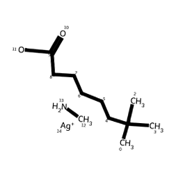 CC(C)(C)CCCCCC(=O)[O-].CN.[Ag+]